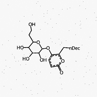 CCCCCCCCCCCc1oc(=O)ccc1OC1OC(CCO)C(O)C(O)C1O